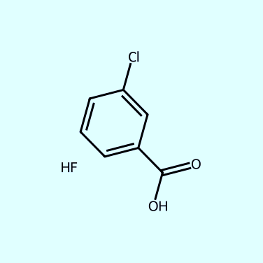 F.O=C(O)c1cccc(Cl)c1